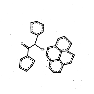 O=C(c1ccccc1)C(O)c1ccccc1.c1cc2ccc3cccc4ccc(c1)c2c34